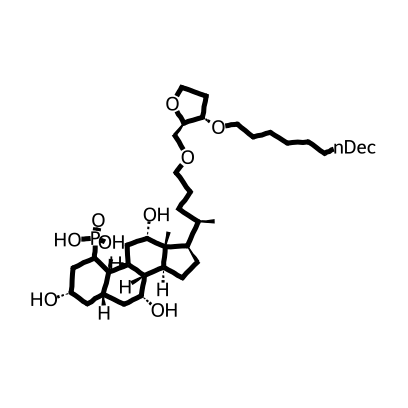 CCCCCCCCCCCCCCCCO[C@H]1CCO[C@@H]1COCCC[C@@H](C)[C@H]1CC[C@H]2[C@@H]3[C@H](O)C[C@@H]4C[C@H](O)CC(P(=O)(O)O)[C@]4(C)[C@H]3C[C@H](O)[C@]12C